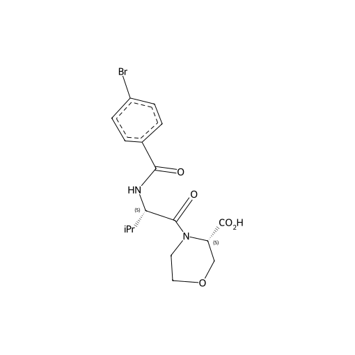 CC(C)[C@H](NC(=O)c1ccc(Br)cc1)C(=O)N1CCOC[C@H]1C(=O)O